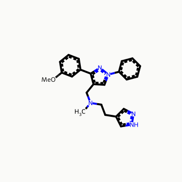 COc1cccc(-c2nn(-c3ccccc3)cc2CN(C)CCc2cn[nH]c2)c1